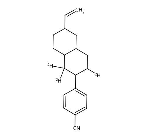 [2H]C1CC2CC(C=C)CCC2C([2H])([2H])C1c1ccc(C#N)cc1